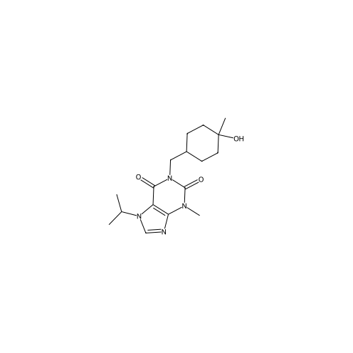 CC(C)n1cnc2c1c(=O)n(CC1CCC(C)(O)CC1)c(=O)n2C